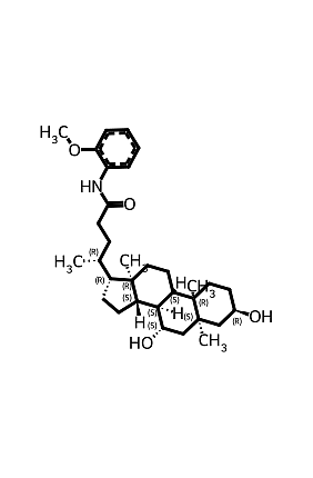 COc1ccccc1NC(=O)CC[C@@H](C)[C@H]1CC[C@H]2[C@@H]3[C@@H](O)C[C@]4(C)C[C@H](O)CC[C@]4(C)[C@H]3CC[C@]12C